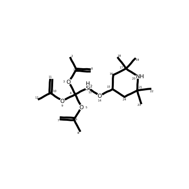 C=C(C)OC(OC(=C)C)(OC(=C)C)[SiH2]OC1CC(C)(C)NC(C)(C)C1